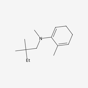 CCC(C)(C)CN(C)C1=CCCC=C1C